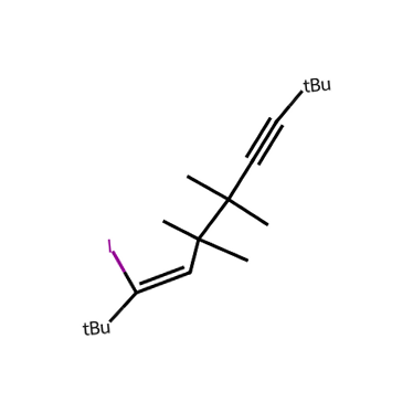 CC(C)(C)C#CC(C)(C)C(C)(C)/C=C(\I)C(C)(C)C